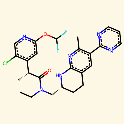 CCN(C[C@H]1CCc2cc(-c3ncccn3)c(C)nc2N1)C(=O)[C@H](C)c1cc(OC(F)F)ncc1Cl